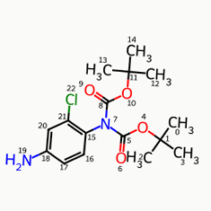 CC(C)(C)OC(=O)N(C(=O)OC(C)(C)C)c1ccc(N)cc1Cl